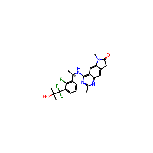 Cc1nc(N[C@H](C)c2cccc(C(F)(F)C(C)(C)O)c2F)c2cc3c(cc2n1)CC(=O)N3C